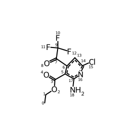 CCOC(=O)c1c(C(=O)C(F)(F)F)cc(Cl)nc1N